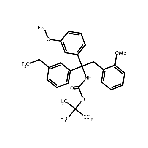 COc1ccccc1CC(NC(=O)OC(C)(C)C(Cl)(Cl)Cl)(c1cccc(CC(F)(F)F)c1)c1cccc(OC(F)(F)F)c1